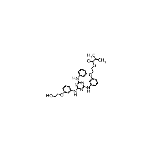 C=C(C)C(=O)OCCOc1cccc(Nc2nc(Nc3ccccc3)nc(Nc3cccc(OCCO)c3)n2)c1